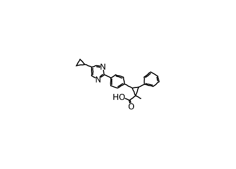 CC1(C(=O)O)C(c2ccccc2)C1c1ccc(-c2ncc(C3CC3)cn2)cc1